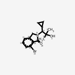 CC(C)(O)C(C1CC1)N1Cc2cccc(Br)c2C1=O